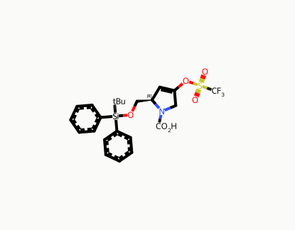 CC(C)(C)[Si](OC[C@H]1C=C(OS(=O)(=O)C(F)(F)F)CN1C(=O)O)(c1ccccc1)c1ccccc1